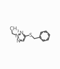 CCn1ncc(SCc2ccccc2)n1